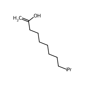 C=C(O)CCCCCCCC(C)C